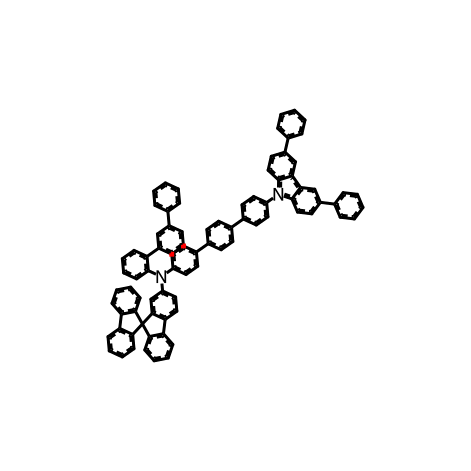 c1ccc(-c2cccc(-c3ccccc3N(c3ccc(-c4ccc(-c5ccc(-n6c7ccc(-c8ccccc8)cc7c7cc(-c8ccccc8)ccc76)cc5)cc4)cc3)c3ccc4c(c3)C3(c5ccccc5-c5ccccc53)c3ccccc3-4)c2)cc1